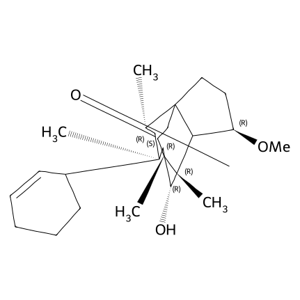 CO[C@@H]1CCC23CC[C@@H](C)[C@](C)(C12)[C@H](O)C[C@@](C)(C1C=CCCC1)C(=O)[C@@H]3C